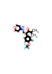 CC(C)C(=O)[C@H](CNC1CCOCC1)c1ccc(OC(F)(F)F)c(F)c1